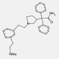 CNCCc1cccc(CCN2CCC(C(C(N)=O)(c3ccccc3)c3ccccc3)C2)c1